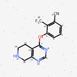 N#Cc1cccc(Oc2ncnc3c2CCNC3)c1C(F)(F)F